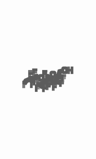 OCC(F)(OC(F)(F)C(F)(OC(F)(F)C(F)(F)CI)C(F)(F)F)C(F)(F)F